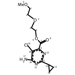 COCCOCCOC(=O)c1nc(C2CC2)nc(N)c1Cl